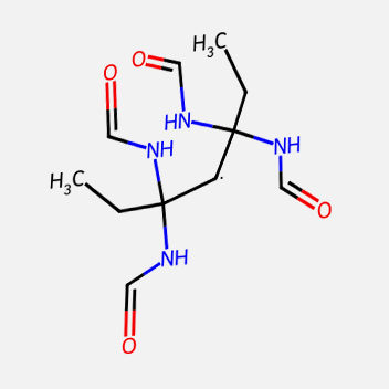 CCC([CH]C(CC)(NC=O)NC=O)(NC=O)NC=O